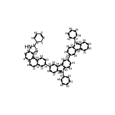 C1=CCC(C2Nc3ccc4ccc5cc(-c6ccc7c(c6)c6cc(-c8ccc9c(c8)c8ccccc8n9-c8ccccc8)ccc6n7-c6ccccc6)ccc5c4c3S2)C=C1